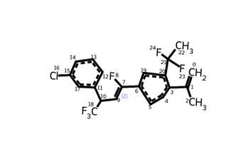 C=C(C)c1ccc(/C(F)=C/C(c2cccc(Cl)c2)C(F)(F)F)cc1C(C)(F)F